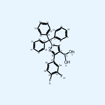 OB(O)c1cn(C(c2ccccc2)(c2ccccc2)c2ccccc2)nc1-c1ccc(F)c(F)c1